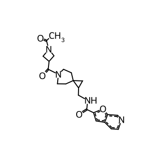 CC(=O)N1CC(C(=O)N2CCC3(CC2)CC3CNC(=O)c2cc3ccncc3o2)C1